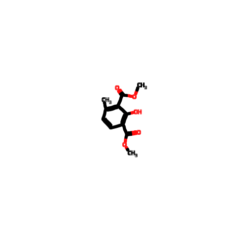 COC(=O)c1ccc(C)c(C(=O)OC)c1O